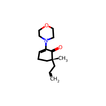 C=CC[C@]1(C)CCC=C(N2CCOCC2)C1=O